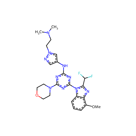 COc1cccc2c1nc(C(F)F)n2-c1nc(Nc2cnn(CCN(C)C)c2)nc(N2CCOCC2)n1